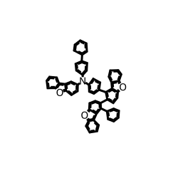 c1ccc(-c2ccc(N(c3ccc(-c4c(-c5ccc6oc7ccccc7c6c5-c5ccccc5)ccc5oc6ccccc6c45)cc3)c3ccc4oc5ccccc5c4c3)cc2)cc1